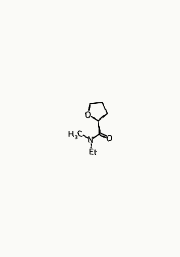 CCN(C)C(=O)[C@@H]1CCCO1